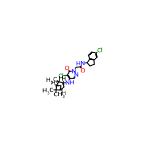 C[C@@H]1[C@H]2C[C@@H](C[C@H]1Nc1cnn(CC(=O)NC3CCc4cc(Cl)ccc43)c(=O)c1Cl)C2(C)C